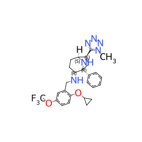 Cn1nnnc1[C@H]1C[C@]2(c3ccccc3)N[C@H]1CC[C@H]2NCc1cc(OC(F)(F)F)ccc1OC1CC1